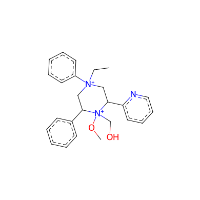 CC[N+]1(c2ccccc2)CC(c2ccccc2)[N+](CO)(OC)C(c2ccccn2)C1